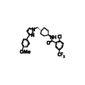 COc1ccc(-c2ccn(C[C@H]3CC[C@H](NC(=O)c4cc(C(F)(F)F)ccc4Cl)CC3)n2)cc1